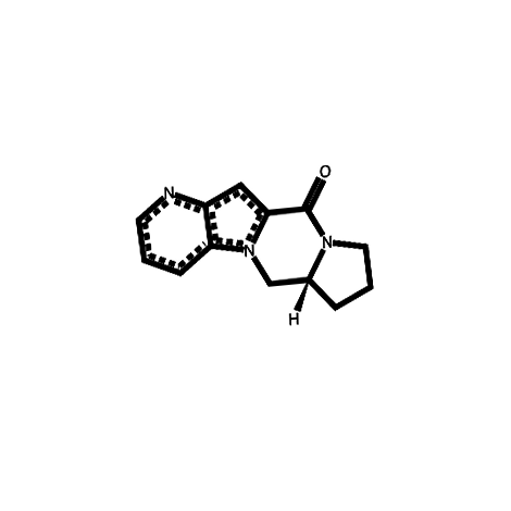 O=C1c2cc3ncccc3n2C[C@H]2CCCN12